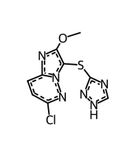 COc1nc2ccc(Cl)nn2c1Sc1nc[nH]n1